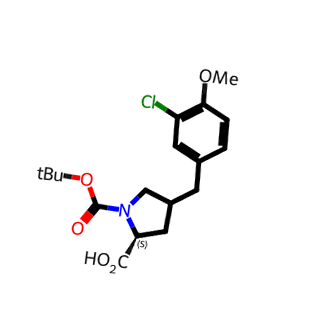 COc1ccc(CC2C[C@@H](C(=O)O)N(C(=O)OC(C)(C)C)C2)cc1Cl